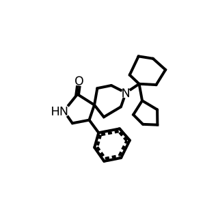 O=C1NCC(c2ccccc2)C12CCN(C1(C3CCCC3)CCCCC1)CC2